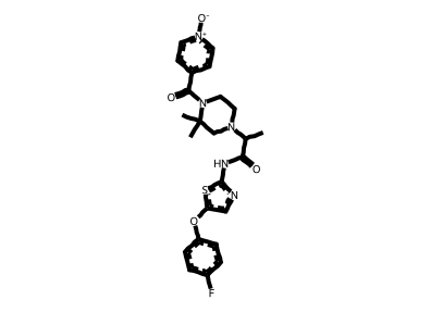 CC(C(=O)Nc1ncc(Oc2ccc(F)cc2)s1)N1CCN(C(=O)c2cc[n+]([O-])cc2)C(C)(C)C1